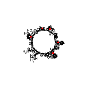 CCCC[C@H]1C(=O)N[C@@H](CCCNC(=N)N)C(=O)NC(C(=O)NCC(N)=O)CSCC(=O)N[C@@H](Cc2ccc(O)cc2)C(=O)N(C)[C@@H](C)C(=O)N[C@@H](CC(=O)O)C(=O)N2CCC[C@H]2C(=O)N[C@@H](Cc2cnc[nH]2)C(=O)N[C@@H](CC(C)C)C(=O)N2CCC[C@H]2C(=O)N[C@@H](Cc2c[nH]c3ccccc23)C(=O)N[C@@H](CO)C(=O)N[C@@H](Cc2csc3ccccc23)C(=O)N(C)[C@@H](CCOC)C(=O)N1C